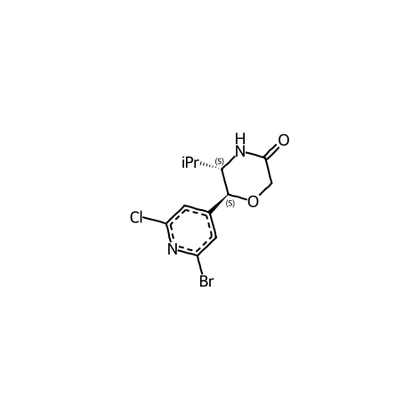 CC(C)[C@@H]1NC(=O)CO[C@H]1c1cc(Cl)nc(Br)c1